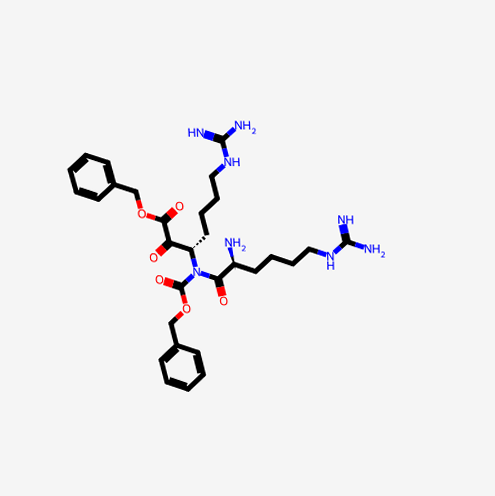 N=C(N)NCCCC[C@H](N)C(=O)N(C(=O)OCc1ccccc1)[C@@H](CCCCNC(=N)N)C(=O)C(=O)OCc1ccccc1